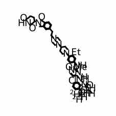 [2H]C([2H])([2H])Oc1cccc(Nc2nc(Nc3cc(CC)c(N4CCC(N5CCN(CCc6ccc7c(c6)CN(C6CCC(=O)NC6=O)C7=O)CC5)CC4)cc3OC)ncc2Cl)c1NS(=O)(=O)C([2H])([2H])[2H]